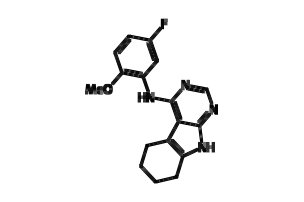 COc1ccc(F)cc1Nc1ncnc2[nH]c3c(c12)CCCC3